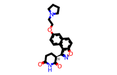 O=C1CC[C@@H](c2noc3ccc4cc(OCCN5CCCC5)ccc4c23)C(=O)N1